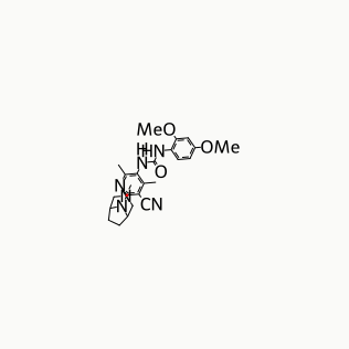 COc1ccc(NC(=O)Nc2c(C)nc(N3C4CCC3CN(C)C4)c(C#N)c2C)c(OC)c1